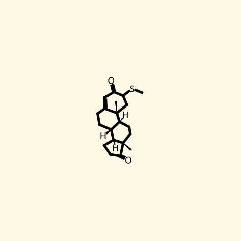 CSC1C[C@@]2(C)C(=CC1=O)CC[C@@H]1[C@@H]2CC[C@]2(C)C(=O)CC[C@@H]12